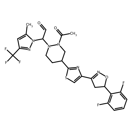 CC(=O)N1CC(c2nc(C3=NOC(c4c(F)cccc4F)C3)cs2)CCN1C(C=O)n1nc(C(F)(F)F)cc1C